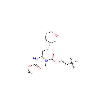 CN(C(=O)OCC[Si](C)(C)C)C(CC[C@@H]1CCCOC1)NC(=O)OC(C)(C)C